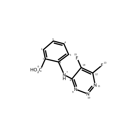 O=C(O)c1ccccc1Nc1nnnc(F)c1F